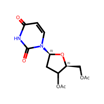 CC(=O)OC[C@@H]1O[C@H](n2ccc(=O)[nH]c2=O)CC1OC(C)=O